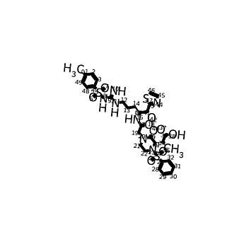 Cc1ccc(S(=O)(=O)NC(=N)NCCC[C@H](NC(=O)CN2CCN(S(=O)(=O)c3ccccc3)[C@@H](C(C)C(=O)O)C2=O)C(=O)c2nccs2)cc1